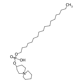 CCCCCCCCCCCCCCCCCCOP(=O)(O)OC1CC[N+]2(CCCCC2)CC1